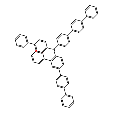 c1ccc(-c2ccc(-c3ccc(N(c4ccc(-c5ccccc5)cc4)c4ccc(-c5ccc(-c6ccccc6)cc5)cc4-c4ccccc4)cc3)cc2)cc1